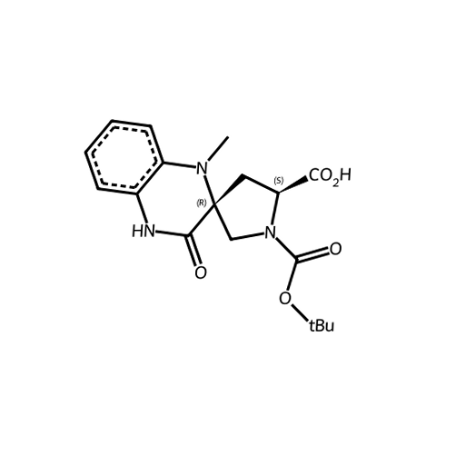 CN1c2ccccc2NC(=O)[C@]12C[C@@H](C(=O)O)N(C(=O)OC(C)(C)C)C2